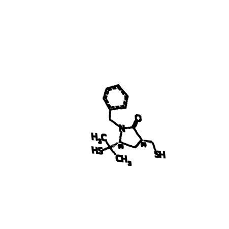 CC(C)(S)[C@H]1C[C@@H](CS)C(=O)N1Cc1ccccc1